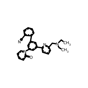 CCN(CC)Cc1cccc(-c2cc(-c3ccccc3C#N)cc(-n3ccccc3=O)c2)n1